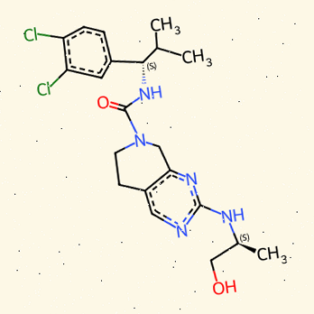 CC(C)[C@H](NC(=O)N1CCc2cnc(N[C@@H](C)CO)nc2C1)c1ccc(Cl)c(Cl)c1